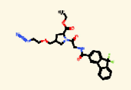 CCOC(=O)C1CC(COCCN=[N+]=[N-])CN1C(=O)CNC(=O)c1ccc2c(c1)-c1ccccc1C2(F)F